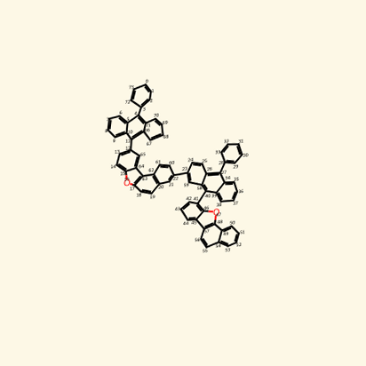 c1ccc(-c2c3ccccc3c(-c3ccc4oc5ccc6cc(-c7ccc8c(-c9ccccc9)c9ccccc9c(-c9cccc%10c9oc9c%11ccccc%11ccc%109)c8c7)ccc6c5c4c3)c3ccccc23)cc1